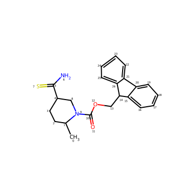 CC1CCC(C(N)=S)CN1C(=O)OCC1c2ccccc2-c2ccccc21